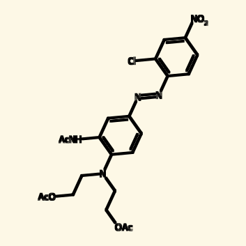 CC(=O)Nc1cc(N=Nc2ccc([N+](=O)[O-])cc2Cl)ccc1N(CCOC(C)=O)CCOC(C)=O